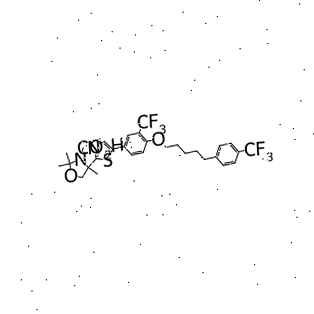 CC1(C)OCC(C)(c2ncc(-c3ccc(OCCCCCc4ccc(C(F)(F)F)cc4)c(C(F)(F)F)c3)s2)N1C(=O)O